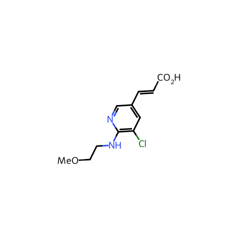 COCCNc1ncc(/C=C/C(=O)O)cc1Cl